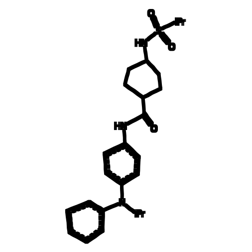 CC(C)N(c1ccccc1)c1ccc(NC(=O)C2CCC(NS(=O)(=O)C(C)C)CC2)cc1